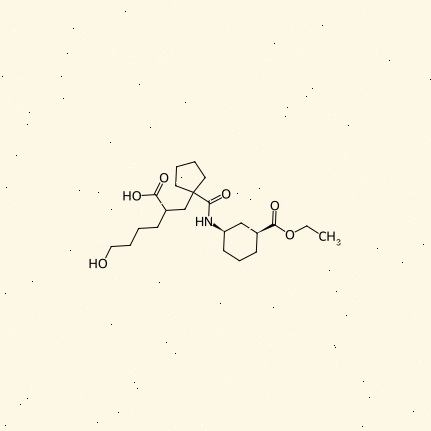 CCOC(=O)[C@H]1CCC[C@@H](NC(=O)C2(CC(CCCCO)C(=O)O)CCCC2)C1